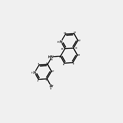 Brc1cncc(Nc2cccc3cccnc23)c1